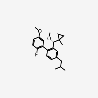 COc1ccc(F)c(-c2ccc(CC(C)C)cc2[C@H](OC)C2(C)CC2)c1